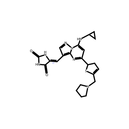 O=C1NC(=O)/C(=C/c2cnn3c(NC4CC4)cc(C4CC=C(CN5CCCC5)S4)nc23)N1